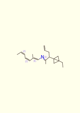 C=CCC(/C(C)=N/C=C(C)/C=C\C=C/C)C12CC1(CC)C2